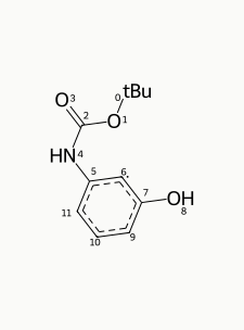 CC(C)(C)OC(=O)Nc1[c]c(O)ccc1